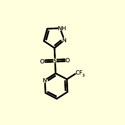 O=S(=O)(c1cc[nH]n1)c1ncccc1C(F)(F)F